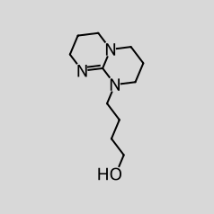 OCCCCN1CCCN2CCCN=C12